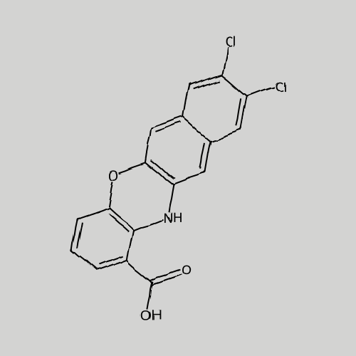 O=C(O)c1cccc2c1Nc1cc3cc(Cl)c(Cl)cc3cc1O2